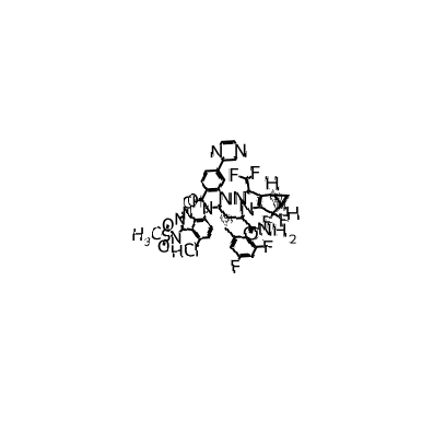 Cn1nc(NS(C)(=O)=O)c2c(Cl)ccc(-n3c([C@@H](Cc4cc(F)cc(F)c4)C(C(N)=O)n4nc(C(F)F)c5c4C(F)(F)[C@@H]4C[C@H]54)nc4cc(-c5cnccn5)ccc4c3=O)c21